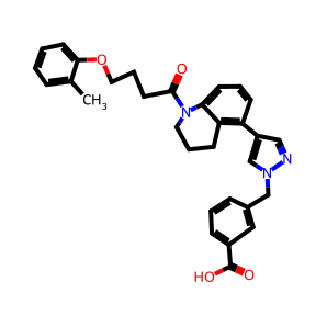 Cc1ccccc1OCCCC(=O)N1CCCc2c(-c3cnn(Cc4cccc(C(=O)O)c4)c3)cccc21